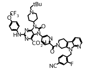 CC(C)(C)CN1CCC(n2c(=O)n(-c3ccc(C(=O)N4CCc5c(n(Cc6ccc(C#N)cc6F)c6ncccc56)C4)nc3)c3c(C(=O)O)nc(Nc4ccc(OC(F)(F)F)cc4)nc32)CC1